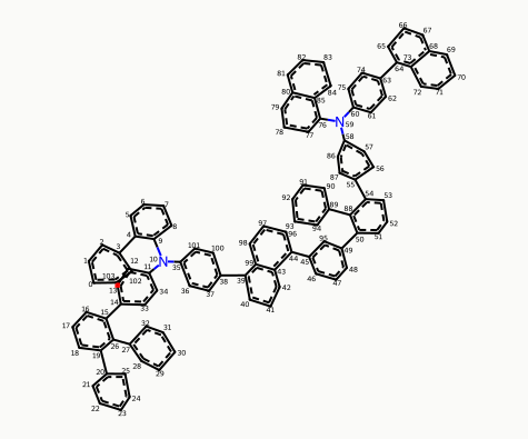 c1ccc(-c2ccccc2N(c2ccc(-c3cccc(-c4ccccc4)c3-c3ccccc3)cc2)c2ccc(-c3cccc4c(-c5cccc(-c6cccc(-c7ccc(N(c8ccc(-c9cccc%10ccccc9%10)cc8)c8cccc9ccccc89)cc7)c6-c6ccccc6)c5)cccc34)cc2)cc1